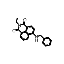 CCN1C(=O)c2cccc3c(NCc4ccccc4)ccc(c23)C1=O